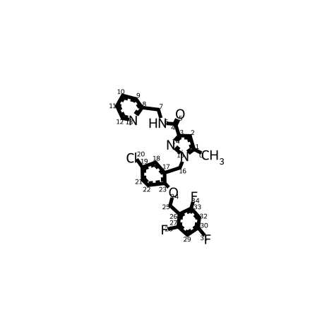 Cc1cc(C(=O)NCc2ccccn2)nn1Cc1cc(Cl)ccc1OCc1c(F)cc(F)cc1F